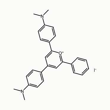 CN(C)c1ccc(-c2cc(-c3ccccc3)[o+]c(-c3ccc(N(C)C)cc3)c2)cc1.[I-]